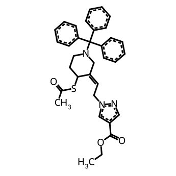 CCOC(=O)c1cnn(CC=C2CN(C(c3ccccc3)(c3ccccc3)c3ccccc3)CCC2SC(C)=O)c1